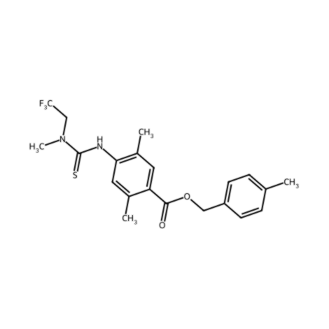 Cc1ccc(COC(=O)c2cc(C)c(NC(=S)N(C)CC(F)(F)F)cc2C)cc1